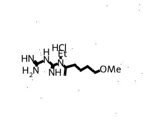 CCN(C(=N)NC(=N)N)C(C)CCCCOC.Cl